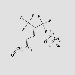 C=CC=C(C(F)(F)F)C(F)(F)F.C=O.C=O.C=O.[Ru]